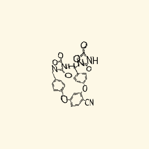 N#Cc1ccc(Oc2ccc(Cn3oc(=O)[nH]c3=O)cc2)cc1Oc1ccc(Cn2oc(=O)[nH]c2=O)cc1